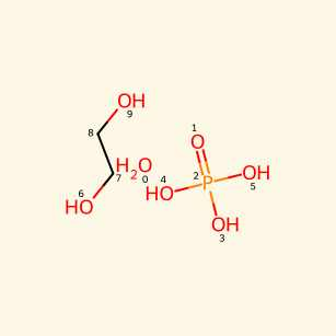 O.O=P(O)(O)O.OCCO